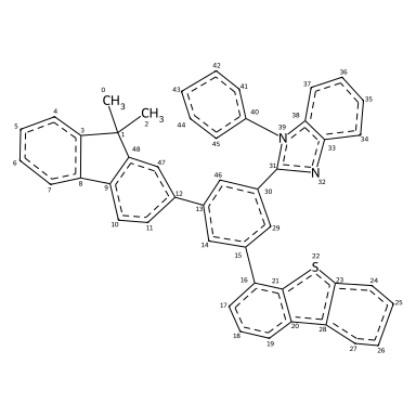 CC1(C)c2ccccc2-c2ccc(-c3cc(-c4cccc5c4sc4ccccc45)cc(-c4nc5ccccc5n4-c4ccccc4)c3)cc21